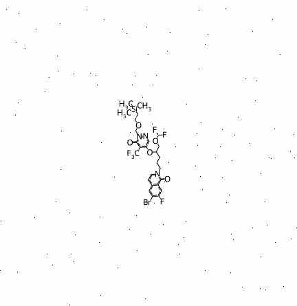 C[Si](C)(C)CCOCn1ncc(OC(CCCn2ccc3cc(Br)c(F)cc3c2=O)COC(F)F)c(C(F)(F)F)c1=O